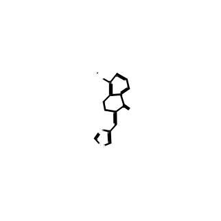 COc1cccc2c1CCC(=Cc1c[nH]cn1)C2=O